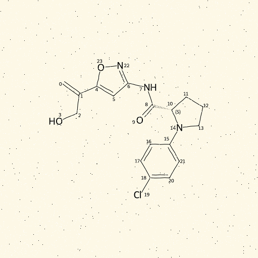 C=C(CO)c1cc(NC(=O)[C@@H]2CCCN2c2ccc(Cl)cc2)no1